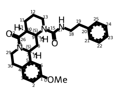 COc1ccc2c(c1)[C@@H]1C[C@H]3[C@H](CCCN3C(=O)NCCc3ccccc3)C(=O)N1CC2